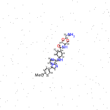 COC1C=CC(c2cnc3c(Nc4ccc(C(=O)NC5COC(CN)OC5)c(C)c4)nccn23)=CC1